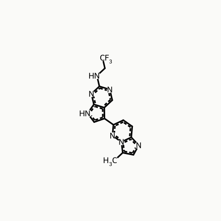 Cc1cnc2ccc(-c3c[nH]c4nc(NCC(F)(F)F)ncc34)nn12